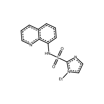 CCn1ccnc1S(=O)(=O)Nc1cccc2cccnc12